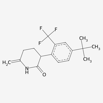 C=C1CCC(c2ccc(C(C)(C)C)cc2C(F)(F)F)C(=O)N1